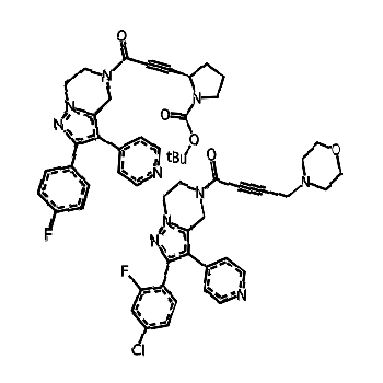 CC(C)(C)OC(=O)N1CCC[C@@H]1C#CC(=O)N1CCn2nc(-c3ccc(F)cc3)c(-c3ccncc3)c2C1.O=C(C#CCN1CCOCC1)N1CCn2nc(-c3ccc(Cl)cc3F)c(-c3ccncc3)c2C1